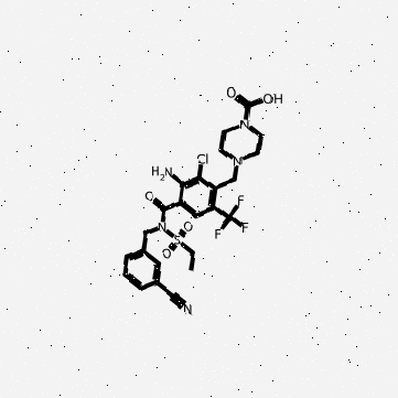 CCS(=O)(=O)N(Cc1cccc(C#N)c1)C(=O)c1cc(C(F)(F)F)c(CN2CCN(C(=O)O)CC2)c(Cl)c1N